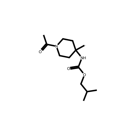 [CH2]C1(NC(=O)OCC(C)C)CCN(C(C)=O)CC1